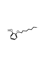 [CH2]CCCCCCOc1ccccc1O